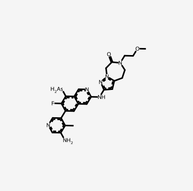 COCCN1CCc2cc(Nc3cc4cc(-c5cncc(N)c5C)c(F)c([AsH2])c4cn3)nn2CC1=O